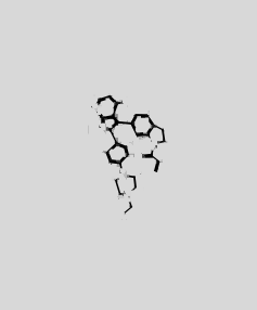 C=CC(=O)N1CCc2ccc(-c3c(-c4ccc(N5CCN(CC)CC5)cc4)[nH]c4nccc(Cl)c34)cc21